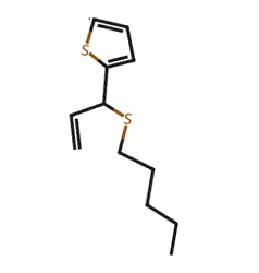 C=CC(SCCCCC)c1cc[c]s1